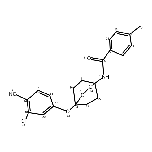 Cc1ccc(C(=O)NC23CCC(Oc4ccc(C#N)c(Cl)c4)(CC2)CC3)cc1